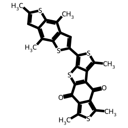 Cc1cc2c(C)c3sc(-c4sc(C)c5c6c(sc45)C(=O)c4c(C)sc(C)c4C6=O)cc3c(C)c2s1